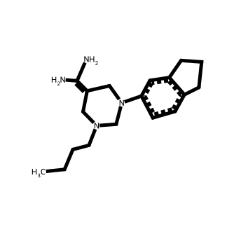 CCCCN1CC(=C(N)N)CN(c2ccc3c(c2)CCC3)C1